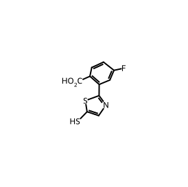 O=C(O)c1ccc(F)cc1-c1ncc(S)s1